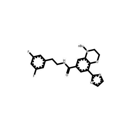 CCCCN1CCOc2c(-c3ncco3)cc(C(=O)NCCc3cc(F)cc(F)c3)cc21